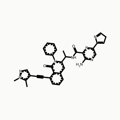 Cc1c(C#Cc2cccc3cc(C(C)NC(=O)c4nc(C5=CCC=N5)cnc4N)n(-c4ccccc4)c(=O)c23)cnn1C